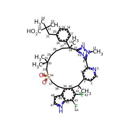 CC1c2ccnc(c2)-c2nc(nn2C)[C@@](C)(c2cccc(CC(C)(C)C(=O)O)c2)CCCC(C)(C)CS(=O)(=O)CCc2c1c(F)c(F)c1[nH]ccc21